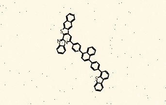 c1ccc2cc3c(cc2c1)sc1c3cc(-c2ccc(-c3ccc(-c4ccc(-c5cccc6c5sc5ccccc56)cc4)c4ccccc34)cc2)n2c3ccccc3nc12